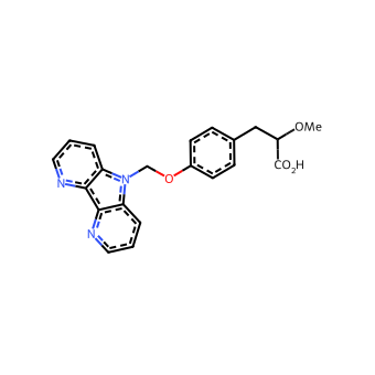 COC(Cc1ccc(OCn2c3cccnc3c3ncccc32)cc1)C(=O)O